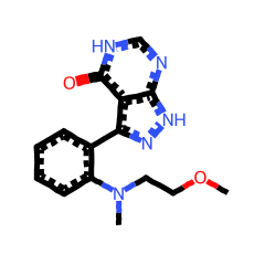 COCCN(C)c1ccccc1-c1n[nH]c2nc[nH]c(=O)c12